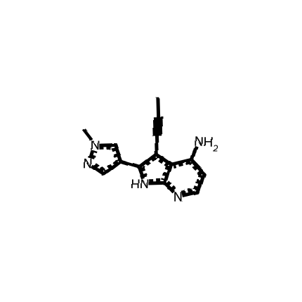 CC#Cc1c(-c2cnn(C)c2)[nH]c2nccc(N)c12